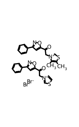 Cc1sc[n+](CC(=O)c2cc(-c3ccccc3)no2)c1C.O=C(C[n+]1ccsc1)c1cc(-c2ccccc2)no1.[Br-].[Br-]